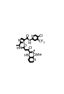 C/N=C(Nc1cccnc1OC)\C(Cl)=C\C(=O)NC(C)c1ncc(C(=O)Nc2cc(C(F)(F)F)c(Cl)cn2)s1